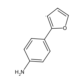 Nc1ccc(-c2[c]cco2)cc1